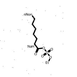 CCCCCCCCCCCCCCCC(=O)OS(=O)(=O)OCC.[NaH]